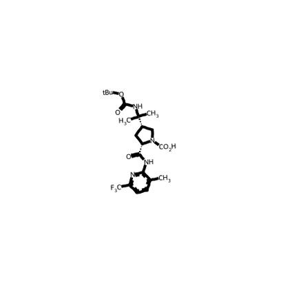 Cc1ccc(C(F)(F)F)nc1NC(=O)[C@@H]1C[C@H](C(C)(C)NC(=O)OC(C)(C)C)CN1C(=O)O